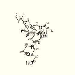 C/C=C(\C)CCN(COC(C)[C@H](C)/N=c1/cc(N2CCOC(CO)C2)cc[nH]1)CC(F)(F)F